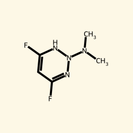 CN(C)N1N=C(F)C=C(F)N1